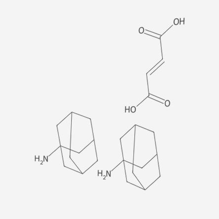 NC12CC3CC(CC(C3)C1)C2.NC12CC3CC(CC(C3)C1)C2.O=C(O)/C=C/C(=O)O